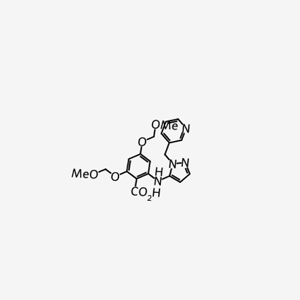 COCOc1cc(Nc2ccnn2Cc2cccnc2)c(C(=O)O)c(OCOC)c1